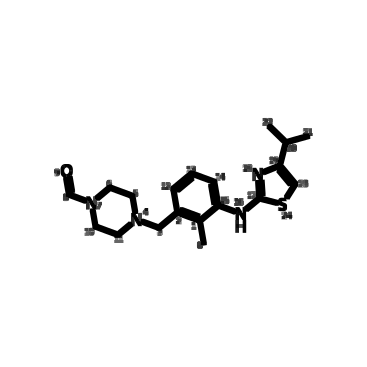 Cc1c(CN2CCN(C=O)CC2)cccc1Nc1nc(C(C)C)cs1